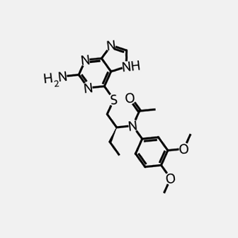 CC[C@@H](CSc1nc(N)nc2nc[nH]c12)N(C(C)=O)c1ccc(OC)c(OC)c1